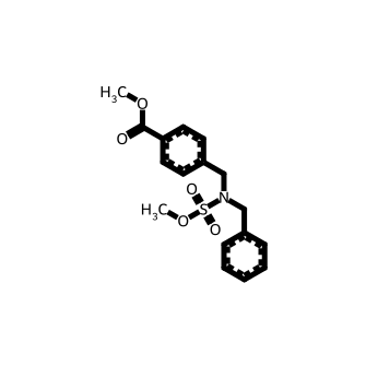 COC(=O)c1ccc(CN(Cc2ccccc2)S(=O)(=O)OC)cc1